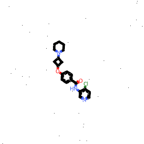 O=C(Nc1cnccc1Cl)c1ccc(OC2CC(N3CCCCC3)C2)cc1